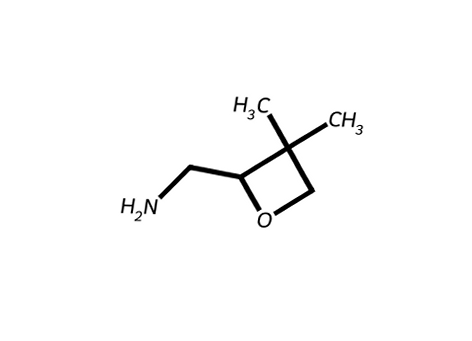 CC1(C)COC1CN